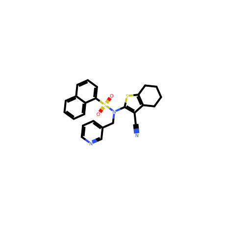 N#Cc1c(N(Cc2cccnc2)S(=O)(=O)c2cccc3ccccc23)sc2c1CCCC2